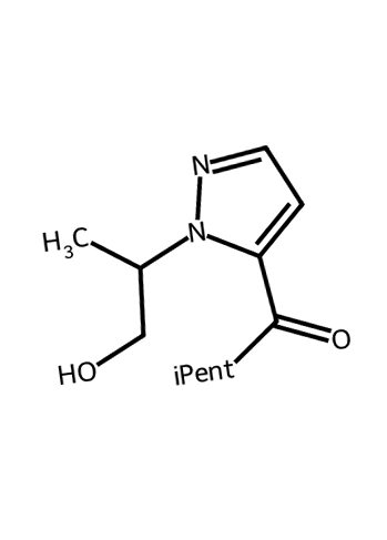 CCCC(C)C(=O)c1ccnn1C(C)CO